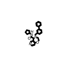 O=C(NC1CCCC1)C1c2cnccc2OCCN1Cc1cccc(-c2ccccc2)c1